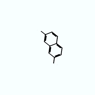 CCCCCCCCc1ccc2ccc(CCCCCCCC)cc2c1